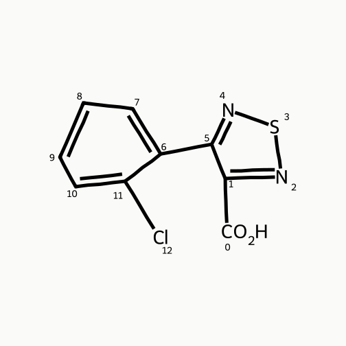 O=C(O)c1nsnc1-c1ccccc1Cl